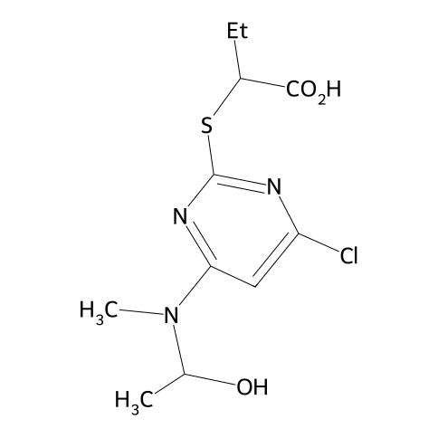 CCC(Sc1nc(Cl)cc(N(C)C(C)O)n1)C(=O)O